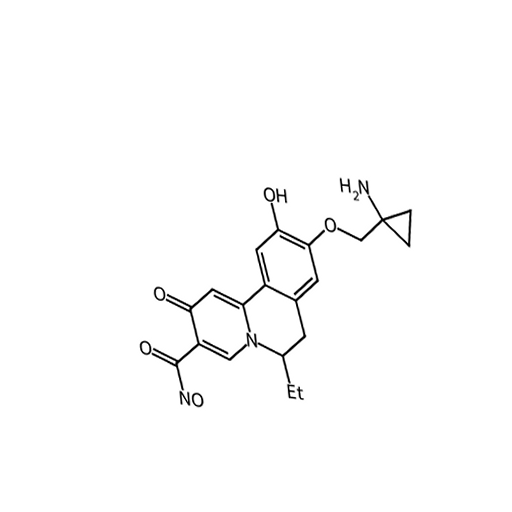 CCC1Cc2cc(OCC3(N)CC3)c(O)cc2-c2cc(=O)c(C(=O)N=O)cn21